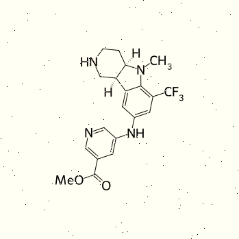 COC(=O)c1cncc(Nc2cc3c(c(C(F)(F)F)c2)N(C)[C@@H]2CCNC[C@H]32)c1